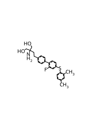 Cc1ccc(Sc2ccc(-c3ccc(CCC(N)(CO)CO)cc3)c(F)c2)c(C)c1